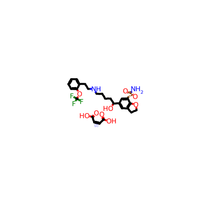 NS(=O)(=O)c1cc(C(O)CCCCNCCc2ccccc2OC(F)(F)F)cc2c1OCC2.O=C(O)/C=C\C(=O)O